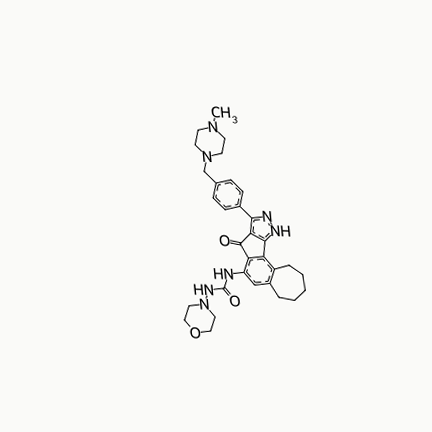 CN1CCN(Cc2ccc(-c3n[nH]c4c3C(=O)c3c(NC(=O)NN5CCOCC5)cc5c(c3-4)CCCCC5)cc2)CC1